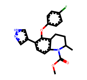 COC(=O)N1c2ccc(-c3cn[nH]c3)c(Oc3ccc(F)cc3)c2CCC1C